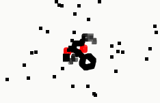 CC1=CC(=O)C(C)(c2ccccc2)O1